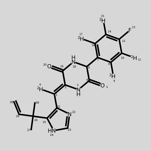 [2H]/C(=C1/NC(=O)C(c2c([2H])c([2H])c(F)c([2H])c2[2H])NC1=O)c1nc[nH]c1C(C)(C)C=C